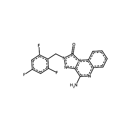 Nc1nc2ccccc2n2c(=O)n(Cc3c(F)cc(F)cc3F)nc12